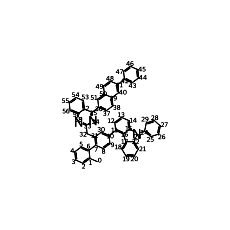 Cc1ccccc1-c1ccc(-c2cccc3c2c2ccccc2n3-c2ccccc2)cc1Cc1nc(-c2ccc3cc(-c4ccccc4)ccc3c2)c2ccccc2n1